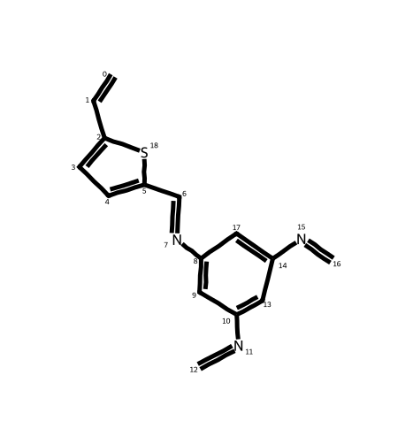 C=Cc1ccc(C=Nc2cc(N=C)cc(N=C)c2)s1